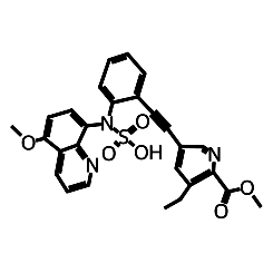 CCc1cc(C#Cc2ccccc2N(c2ccc(OC)c3cccnc23)S(=O)(=O)O)cnc1C(=O)OC